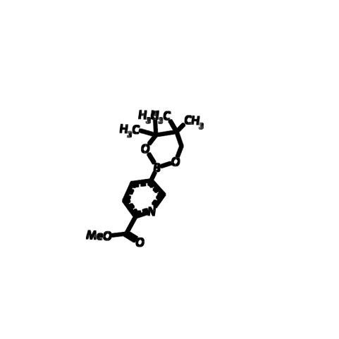 COC(=O)c1ccc(B2OCC(C)(C)C(C)(C)O2)cn1